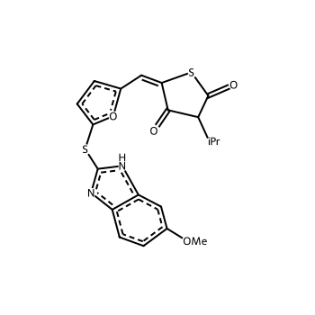 COc1ccc2nc(Sc3ccc(C=C4SC(=O)C(C(C)C)C4=O)o3)[nH]c2c1